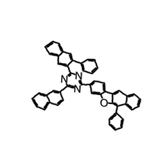 c1ccc(-c2cc3ccccc3cc2-c2nc(-c3ccc4ccccc4c3)nc(-c3ccc4c(c3)oc3c(-c5ccccc5)c5ccccc5cc34)n2)cc1